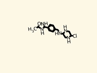 CC1NC(c2ccc(CNC3CNC(Cl)CN3)cc2)NO1